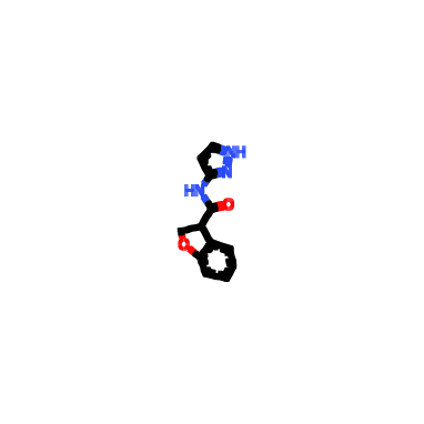 O=C(Nc1cc[nH]n1)C1COc2ccccc21